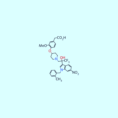 COc1cc(CC(=O)O)ccc1OC1CCN(CC(O)(c2cn(Cc3ccccc3C)c3cc([N+](=O)[O-])ccc23)C(F)(F)F)CC1